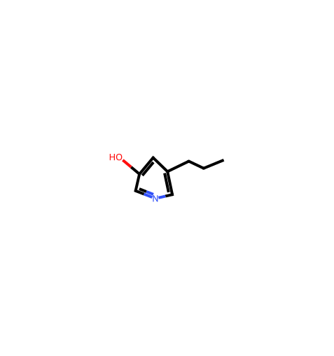 CCCc1cncc(O)c1